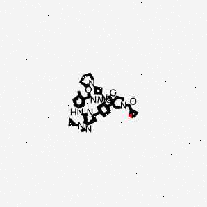 CNC(=O)c1cc(Nc2nc(-c3ccc4c(c3)N([C@H]3C[C@@H](N5CCCCC5)C3)C(=O)C43CCN(C(=O)C45CC(C4)C5)CC3)cc3ncn(C4CC4)c23)ccc1C